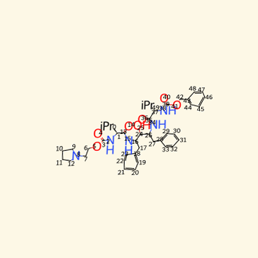 CC(C)[C@H](NC(=O)OCCN1CCCC1)C(=O)NC(Cc1ccccc1)C(O)C(Cc1ccccc1)NC(=O)[C@@H](NC(=O)OCc1ccccc1)C(C)C